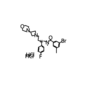 CN(C[C@@H](CCN1CC(N2CCOCC2)C1)c1ccc(F)cc1)C(=O)c1cc(Br)cc(I)c1.Cl.Cl